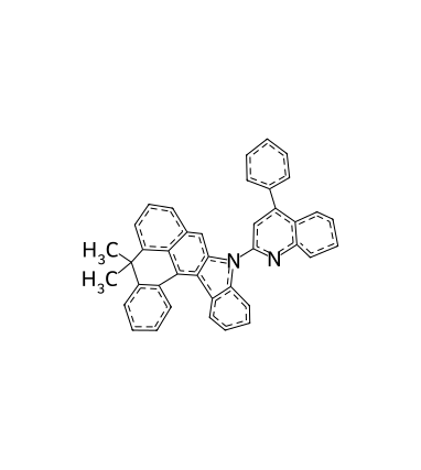 CC1(C)c2ccccc2-c2c3c1cccc3cc1c2c2ccccc2n1-c1cc(-c2ccccc2)c2ccccc2n1